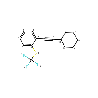 FC(F)(F)Sc1ccccc1C#CC1CCCCC1